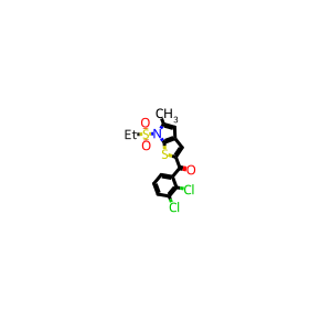 CCS(=O)(=O)n1c(C)cc2cc(C(=O)c3cccc(Cl)c3Cl)sc21